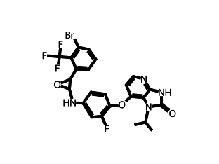 CC(C)n1c(=O)[nH]c2nccc(Oc3ccc(NC4OC4c4cccc(Br)c4C(F)(F)F)cc3F)c21